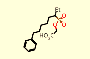 CC[C](CCCCCc1ccccc1)S(=O)(=O)OCC(=O)O